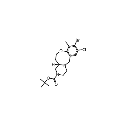 Cc1c(Br)c(Cl)cc2c1OCC[C@H]1CN(C(=O)OC(C)(C)C)CCN1C2